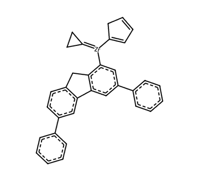 C1=CC[C]([Zr](=[C]2CC2)[c]2cc(-c3ccccc3)cc3c2Cc2ccc(-c4ccccc4)cc2-3)=C1